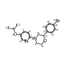 FC(F)Oc1ccc(N2CCOC(c3ccc(Br)cc3)C2)nc1